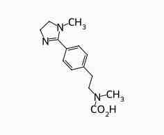 CN(CCc1ccc(C2=NCCN2C)cc1)C(=O)O